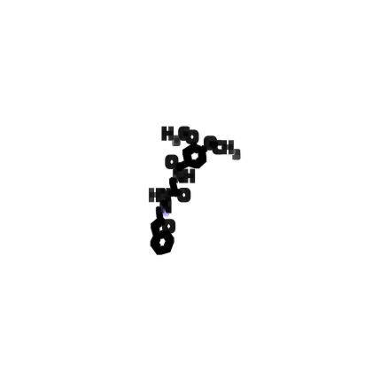 COc1ccc(C(=O)NCC(=O)N/N=C/c2cc3ccccc3o2)cc1OC